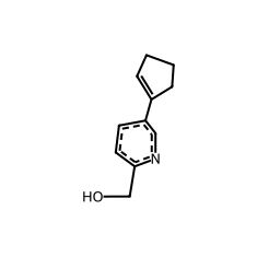 OCc1ccc(C2=CCCC2)cn1